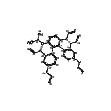 C=CCc1ccc(-c2c(CC=C)ccc(OP(O)O)c2-c2ccc(CC=C)cc2CC=C)c(CC=C)c1